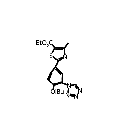 CCOC(=O)c1sc(-c2ccc(OCC(C)C)c(-n3cnnn3)c2)nc1C